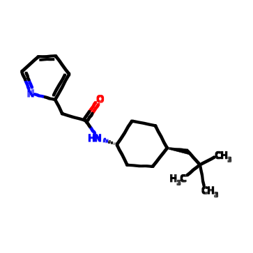 CC(C)(C)C[C@H]1CC[C@H](NC(=O)Cc2ccccn2)CC1